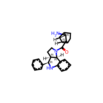 N[C@@H]1C2CCC(CC2)[C@@H]1C(=O)N1CC[C@@H]2[C@H](c3ccccc3)Nc3ccccc3[C@@H]21